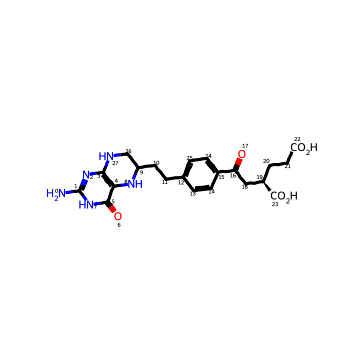 Nc1nc2c(c(=O)[nH]1)NC(CCc1ccc(C(=O)C[C@@H](CCC(=O)O)C(=O)O)cc1)CN2